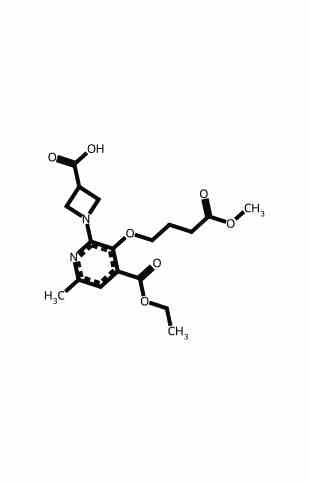 CCOC(=O)c1cc(C)nc(N2CC(C(=O)O)C2)c1OCCCC(=O)OC